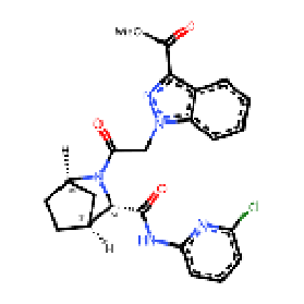 COC(=O)c1nn(CC(=O)N2[C@@H]3CC[C@@H](C3)[C@H]2C(=O)Nc2cccc(Cl)n2)c2ccccc12